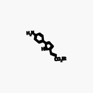 CCOC(=O)/C=C/c1ccc(-c2ccc(N)cc2)[nH]1